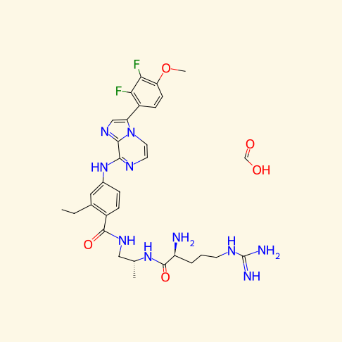 CCc1cc(Nc2nccn3c(-c4ccc(OC)c(F)c4F)cnc23)ccc1C(=O)NC[C@@H](C)NC(=O)[C@@H](N)CCCNC(=N)N.O=CO